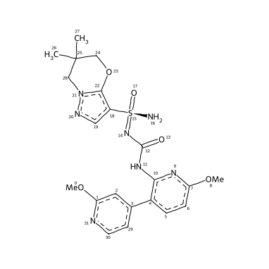 COc1cc(-c2ccc(OC)nc2NC(=O)N=[S@@](N)(=O)c2cnn3c2OCC(C)(C)C3)ccn1